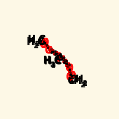 C=CC(C=C)OC(=O)CCCCCOc1ccc(-c2ccc(-c3ccc4c(c3)C(CC)(CC)c3cc(-c5ccc(-c6ccc(OCCCCCC(=O)OC(C=C)C=C)cc6)cc5)ccc3-4)cc2)cc1